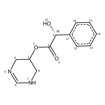 O=C(OC1CN=CNC1)[C@H](O)c1ccccc1